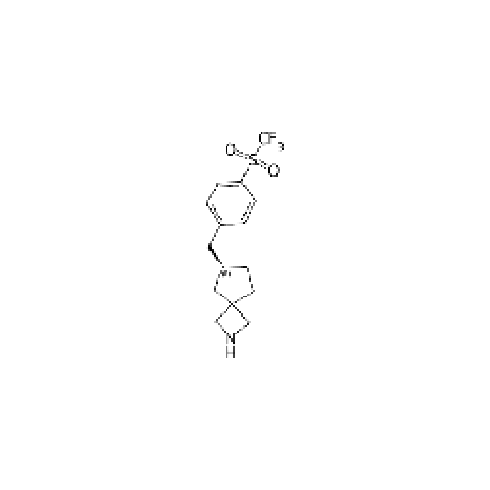 O=S(=O)(c1ccc(C[C@H]2CCC3(CNC3)C2)cc1)C(F)(F)F